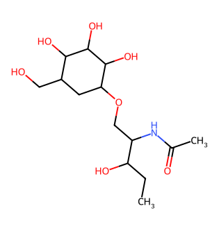 CCC(O)C(COC1CC(CO)C(O)C(O)C1O)NC(C)=O